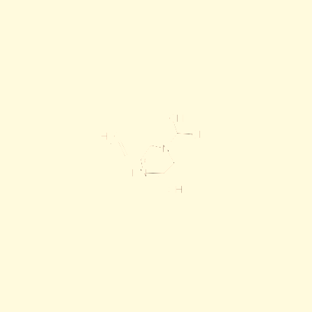 C=C[C@@H]1CN(C(C)C)C[C@H](C)N1